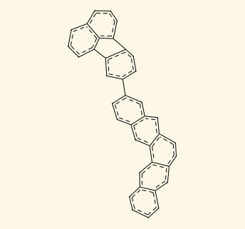 c1ccc2cc3c(ccc4cc5cc(-c6ccc7c(c6)-c6cccc8cccc-7c68)ccc5cc43)cc2c1